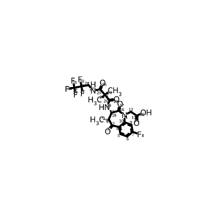 C[C@H]1C(=O)c2ccc(F)cc2N(CC(=O)O)C(=O)[C@H]1NC(=O)C(C)(C)C(=O)NCC(F)(F)C(F)(F)F